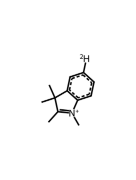 [2H]c1ccc2c(c1)C(C)(C)C(C)=[N+]2C